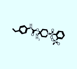 CCc1ccc(NC(=O)OC2(N)CCN(S(=O)(=O)c3ccccc3S(C)(=O)=O)CC2)cc1